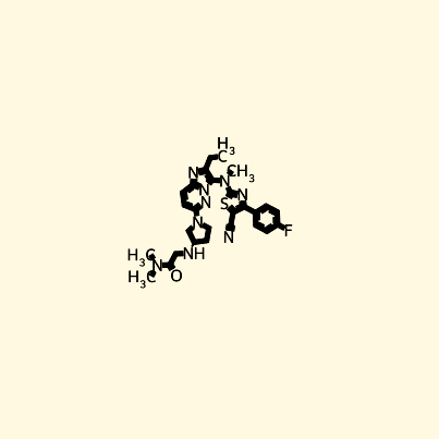 CCc1nc2ccc(N3CC[C@H](NCC(=O)N(C)C)C3)nn2c1N(C)c1nc(-c2ccc(F)cc2)c(C#N)s1